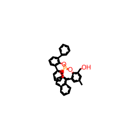 Cc1cc(CO)c2op(Oc3c(-c4ccccc4)cccc3-c3ccccc3)oc3ccc4ccccc4c3c2c1